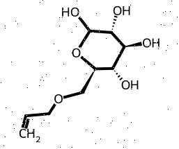 C=CCOC[C@H]1OC(O)[C@H](O)[C@@H](O)[C@@H]1O